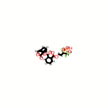 O=C(OCCC(F)C(F)(F)S(=O)(=O)O)C1CCCCC1C(=O)OC1C2CC3C(=O)OC1C3C2